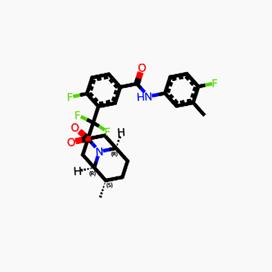 Cc1cc(NC(=O)c2ccc(F)c(C(F)(F)C(=O)N3[C@@H]4CC[C@H](C)[C@H]3CC(=O)C4)c2)ccc1F